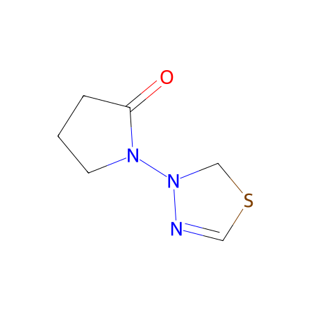 O=C1CCCN1N1CSC=N1